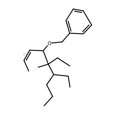 C/C=C\C(OCc1ccccc1)C(C)(CC)C(CC)CCC